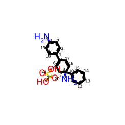 Nc1ccc(C2=CCC(N)(c3ccccc3)C=C2)cc1.O=S(=O)(O)O